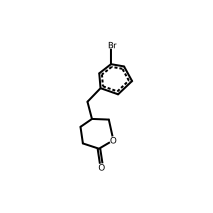 O=C1CCC(Cc2cccc(Br)c2)CO1